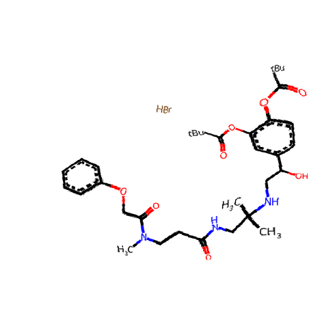 Br.CN(CCC(=O)NCC(C)(C)NCC(O)c1ccc(OC(=O)C(C)(C)C)c(OC(=O)C(C)(C)C)c1)C(=O)COc1ccccc1